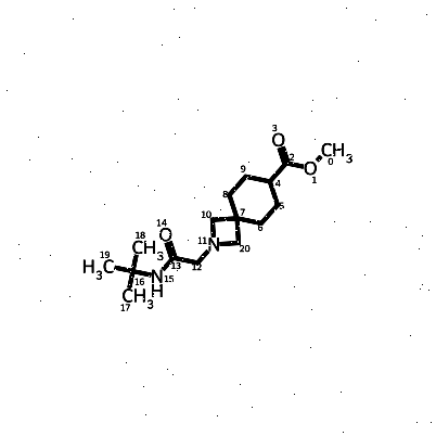 COC(=O)C1CCC2(CC1)CN(CC(=O)NC(C)(C)C)C2